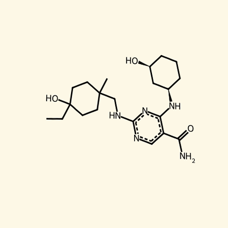 CCC1(O)CCC(C)(CNc2ncc(C(N)=O)c(N[C@@H]3CCC[C@H](O)C3)n2)CC1